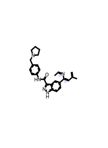 C=C(C)/C=C(\N=C/C)c1ccc2[nH]nc(C(=O)Nc3ccc(CN4CCCC4)cc3)c2c1